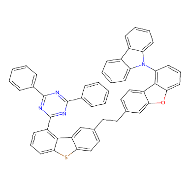 c1ccc(-c2nc(-c3ccccc3)nc(-c3cccc4sc5ccc(CCc6ccc7c(c6)oc6cccc(-n8c9ccccc9c9ccccc98)c67)cc5c34)n2)cc1